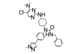 CN(C)c1nc(NC2CCC(N(C(=O)NCc3ccccc3)c3ccc(-c4cnn(C)c4)cc3)CC2)ncc1Cl